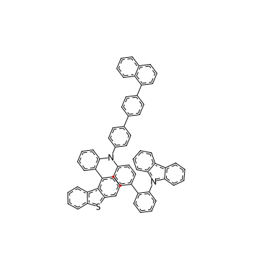 c1ccc(N(c2ccc(-c3ccc(-c4cccc5ccccc45)cc3)cc2)c2ccc(-c3ccccc3-n3c4ccccc4c4ccccc43)cc2)c(-c2cccc3sc4ccccc4c23)c1